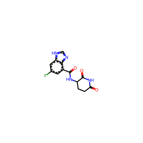 O=C1CCC(NC(=O)c2cc(F)cc3[nH]cnc23)C(=O)N1